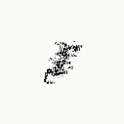 CCCCCC/C=C\CCCOc1cccc(C(=O)NC2C(O)[C@H](O)C(CO)O[C@H]2O[C@@H]2C(CO)O[C@@H](O[C@@H](CO)C(CO)O[C@H](CNC(C)=O)O[C@@H]3C(CO)O[C@@H](O[C@@H](CO)C(CO[C@@H]4OC5O[C@H]5C(O)C4O)O[C@@H](O)CNC(C)=O)C(NC(C)=O)C3O)C(NC(C)=O)C2O)c1